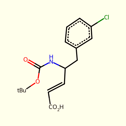 CC(C)(C)OC(=O)NC(C=CC(=O)O)Cc1cccc(Cl)c1